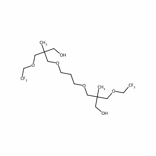 CC(CO)(COCCCOCC(C)(CO)COCC(F)(F)F)COCC(F)(F)F